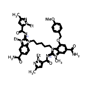 CCn1nc(C)cc1C(=O)/N=c1\n(CC)c2cc(C(N)=O)ccc2n1CCCCCn1/c(=N/C(=O)c2cc(C)nn2CC)n(C)c2cc(C(N)=O)cc(OCc3ccc(OC)cc3)c21